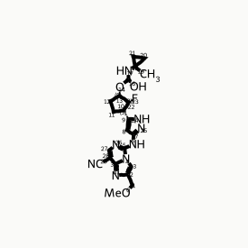 COCc1cn2c(Nc3cc([C@@H]4CC[C@H](OC(O)NC5(C)CC5)[C@@H]4F)[nH]n3)ncc(C#N)c2n1